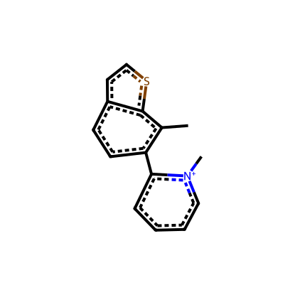 Cc1c(-c2cccc[n+]2C)ccc2ccsc12